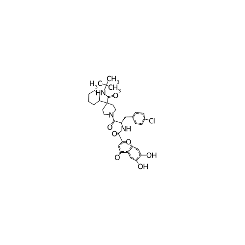 CC(C)(C)NC(=O)C1(C2CCCCC2)CCN(C(=O)[C@@H](Cc2ccc(Cl)cc2)NC(=O)c2cc(=O)c3cc(O)c(O)cc3o2)CC1